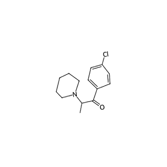 CC(C(=O)c1ccc(Cl)cc1)N1CCCCC1